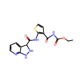 CCOC(=O)NC(=O)c1ccsc1NC(=O)C1NNc2ncccc21